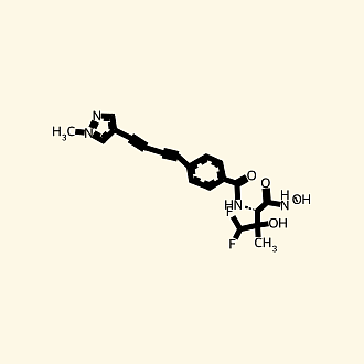 Cn1cc(C#CC#Cc2ccc(C(=O)N[C@H](C(=O)NO)C(C)(O)C(F)F)cc2)cn1